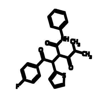 CC(C)C(=O)C(C(=O)Nc1ccccc1)C(C(=O)c1ccc(F)cc1)c1cccs1